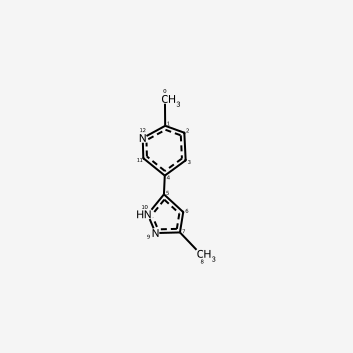 Cc1ccc(-c2cc(C)n[nH]2)cn1